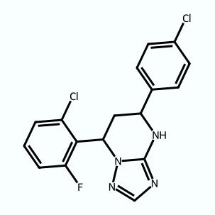 Fc1cccc(Cl)c1C1CC(c2ccc(Cl)cc2)Nc2ncnn21